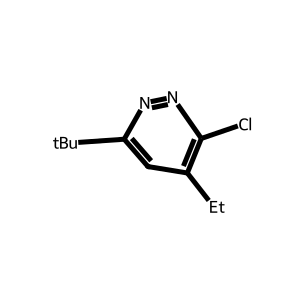 CCc1cc(C(C)(C)C)nnc1Cl